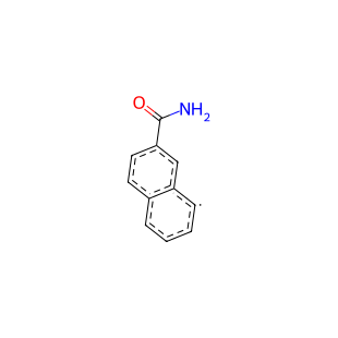 NC(=O)c1ccc2ccc[c]c2c1